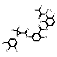 CN(C(=O)C(F)F)c1c(F)ccc(NC(=O)c2cc(NC(=O)C3[C@H](c4cc(Cl)c(Cl)c(Cl)c4)C3(Cl)Cl)ccc2Cl)c1F